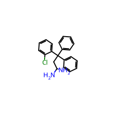 NC(N)CC(c1ccccc1)(c1ccccc1)c1ccccc1Cl